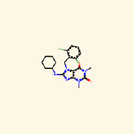 Cn1c(=O)c2c(nc(NC3CCCCC3)n2Cc2c(Cl)cccc2Cl)n(C)c1=O